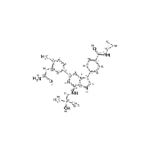 Cc1ccc(-c2cn3c(-c4ccc(C(=O)NC5CC5)cc4)cnc3c(NCC(C)(C)O)n2)cc1CC(N)=O